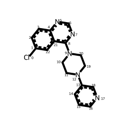 Clc1ccc2ncnc(N3CCN(c4cccnc4)CC3)c2c1